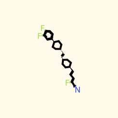 N#CC(F)=CC=C[C@H]1CC[C@H](/C=C/[C@H]2CC[C@H](c3ccc(F)c(F)c3)CC2)CC1